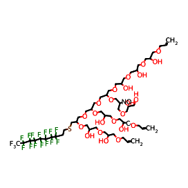 C=CCOCC(O)COCC(O)COCC(O)COCC(COCC(COCC(CSCCC(F)(F)C(F)(F)C(F)(F)C(F)(F)C(F)(F)C(F)(F)C(F)(F)C(F)(F)F)OCC(O)COCC(O)COCC=C)OCC(O)COCC(O)COCC=C)OCC(COCC(O)CO)N=O